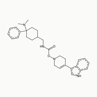 CN(C)C1(c2ccccc2)CCC(CNC(=O)ON2CC=C(c3c[nH]c4ccccc34)CC2)CC1